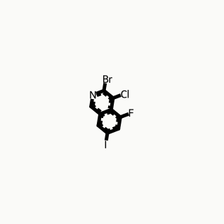 Fc1cc(I)cc2cnc(Br)c(Cl)c12